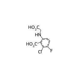 O=C(O)CNc1ccc(F)c(Cl)c1C(=O)O